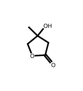 CC1(O)COC(=O)C1